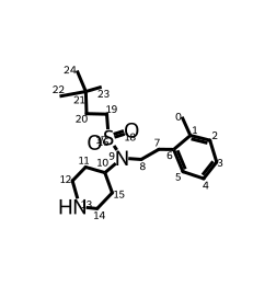 Cc1ccccc1CCN(C1CCNCC1)S(=O)(=O)CCC(C)(C)C